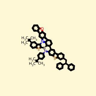 CC(C)(C)c1ccc(N2B3c4sc5ccc(C(C)(C)C)cc5c4-n4c5cc6c(cc5c5ccc(c3c54)-c3cc4c(cc32)sc2cc(CC(c3ccccc3)c3ccccc3)ccc24)oc2ccccc26)cc1